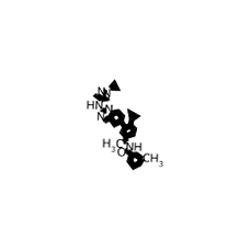 Cc1cccc(C(=O)NC(C)c2ccc(C3CC3)c(-c3ccc4nc(Nc5cnn(C6CC6)c5)ncc4c3)c2)c1